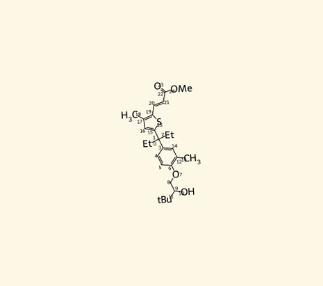 CCC(CC)(c1ccc(OCC(O)C(C)(C)C)c(C)c1)c1cc(C)c(C=CC(=O)OC)s1